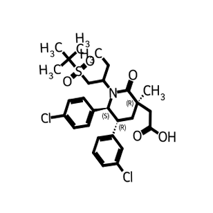 CCC(CS(=O)(=O)C(C)(C)C)N1C(=O)[C@@](C)(CC(=O)O)C[C@H](c2cccc(Cl)c2)[C@H]1c1ccc(Cl)cc1